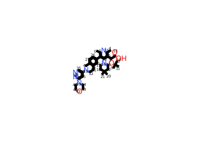 Cc1nc(C)c([C@H](OC(C)(C)C)C(=O)O)c(N2CCC(C)(C)CC2)c1-c1ccc2c(c1)CCN(c1cnnc(N3CCOCC3)c1)C2